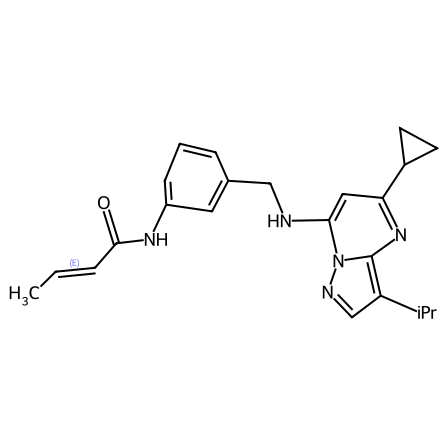 C/C=C/C(=O)Nc1cccc(CNc2cc(C3CC3)nc3c(C(C)C)cnn23)c1